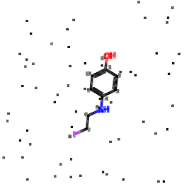 Oc1ccc(NCCI)cc1